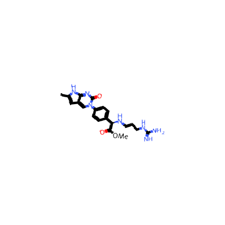 COC(=O)[C@H](NCCCNC(=N)N)c1ccc(-n2cc3cc(C)[nH]c3nc2=O)cc1